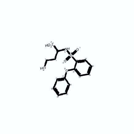 O=C(O)C(CCO)NS(=O)(=O)c1ccccc1Oc1ccccc1